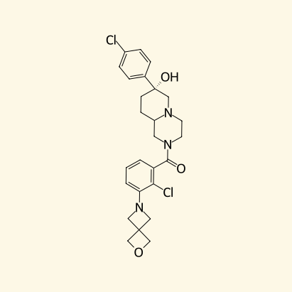 O=C(c1cccc(N2CC3(COC3)C2)c1Cl)N1CCN2C[C@](O)(c3ccc(Cl)cc3)CCC2C1